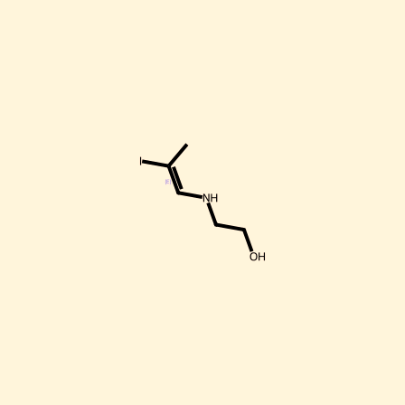 C/C(I)=C\NCCO